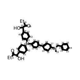 CCC(=O)C(O)c1ccc(N(c2ccc(-c3ccc(N(C)Cc4ccccc4)cc3)cc2)c2ccc(C(O)C(=O)CC)cc2)cc1